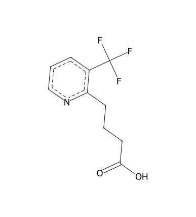 O=C(O)CCCc1ncccc1C(F)(F)F